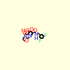 O=C(NCc1cc(F)cc(F)c1)c1cn2c(c(O)c1=O)C(=O)N1CCCOC1C2